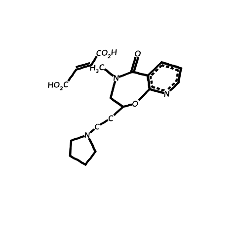 CN1CC(CCN2CCCC2)Oc2ncccc2C1=O.O=C(O)C=CC(=O)O